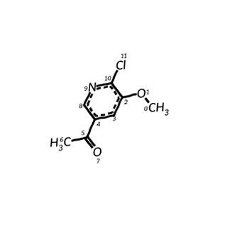 COc1cc(C(C)=O)cnc1Cl